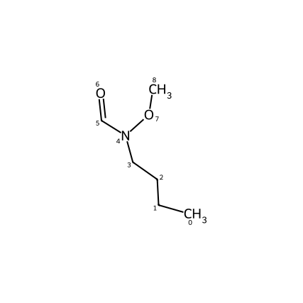 CCCCN(C=O)OC